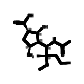 CCC[C@](C)(OC)[C@H](NC(C)=O)[C@@H]1[C@H](O)[C@@H](C(=O)O)C[C@H]1N